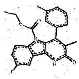 CCOC(=O)n1c2ccc(F)cc2c2[nH]c(=O)c(C)c(-c3cccc(I)c3)c21